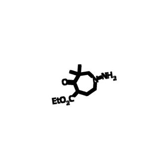 CCOC(=O)C1CCN(N)CC(C)(C)C1=O